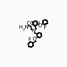 N[C@@H](CCN(Cc1ccccc1OCc1ccccc1F)Cc1ccccc1Oc1ccccc1F)C(=O)O